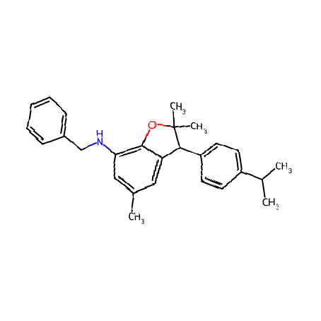 Cc1cc(NCc2ccccc2)c2c(c1)C(c1ccc(C(C)C)cc1)C(C)(C)O2